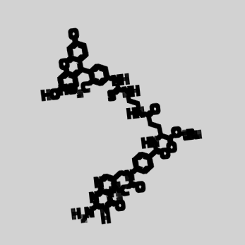 CC(C)(C)OC(=O)C(CCC(=O)NCCNC(=S)Nc1ccc(-c2c3ccc(=O)cc-3oc3cc(O)ccc23)c(C(=O)O)c1)NC(=O)c1ccc(N(Cc2cnc3nc(N)[nH]c(=O)c3n2)C(=O)C(F)(F)F)cc1